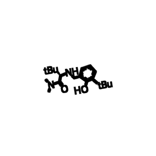 CN(C)C(=O)[C@@H](NCc1cccc(C(C)(C)C)c1O)C(C)(C)C